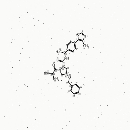 Cc1ncsc1-c1ccc([C@H](C)NC(=O)[C@@H]2C[C@@H](OCc3ccccc3)CN2C(=O)[C@@H](N)C(C)(C)C)cc1